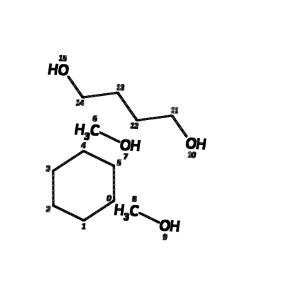 C1CCCCC1.CO.CO.OCCCCO